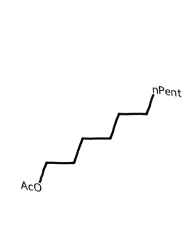 [CH2]CCCCCCCCCCOC(C)=O